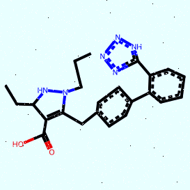 CCCN1NC(CC)C(C(=O)O)=C1Cc1ccc(-c2ccccc2-c2nnn[nH]2)cc1